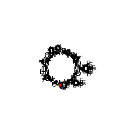 CC[C@H](C)[C@@H]1NC(=O)[C@H](CC2CC2)N(C)C(=O)C[C@@H](C(=O)N2CCCC2)N(C)C(=O)[C@H](C2CCCC2)N(C)C(=O)C2(CCC2)NC(=O)[C@@H]2C[C@H](C)CN2C(=O)[C@H](CCc2cc(F)c(C(F)(F)F)c(F)c2)NC(=O)CN(C)C(=O)[C@H](Cc2ccc(C(F)(F)F)cc2)N2CC/C=C\C[C@@H](C2=O)N(C)C(=O)CN(C)C1=O